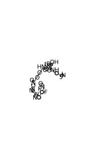 Cc1ncsc1-c1ccc(CNC(=O)[C@@H]2C[C@@H](O)CN2C(=O)C(NC(=O)CCOCCOCCC(=O)N2CCC(n3cc(-c4cnc5cccc(-c6cc(F)c(CN7CCOCC7)c(F)c6)c5n4)cn3)CC2)C(C)(C)C)cc1